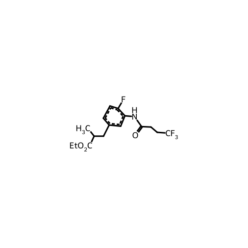 CCOC(=O)C(C)Cc1ccc(F)c(NC(=O)CCC(F)(F)F)c1